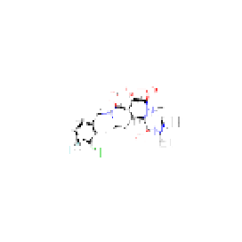 CCN(C)C(=O)c1c2c(c(O)c(=O)n1C)C(=O)N(Cc1ccc(F)c(Cl)c1)CC2